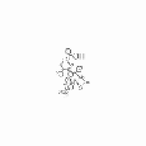 COc1ccc(C(=O)O)cc1OC(=O)C1CCCN1C(=O)OC(C)(C)C